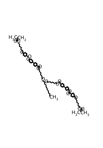 C=C(C)C(=O)OCCCCCCOc1ccc(C(=O)Oc2ccc(-c3ccc(C(=O)OCCCCCCO[CH]C(CCCCCCCCCC)OCCCCCCOC(=O)c4ccc(-c5ccc(OC(=O)c6ccc(OCCCCCCOC(=O)C(=C)C)cc6)cc5)cc4)cc3)cc2)cc1